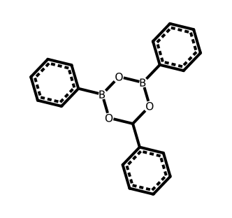 c1ccc(B2OB(c3ccccc3)OC(c3ccccc3)O2)cc1